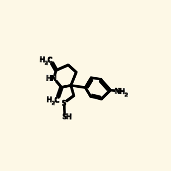 C=C1CCC(CSS)(c2ccc(N)cc2)C(=C)N1